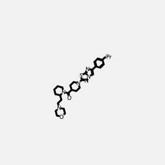 CC(C)c1ccc(-c2cn3nc(N4CCC(C(=O)N5CCCCC5CCN5CCOCC5)CC4)sc3n2)cc1